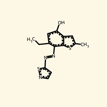 CCc1cc(O)c2cc(C)sc2c1/N=N/c1ccns1